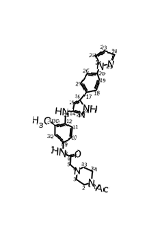 CC(=O)N1CCN(CC(=O)Nc2ccc(Nc3cc(-c4ccc(-n5cccn5)cc4)[nH]n3)c(C)c2)CC1